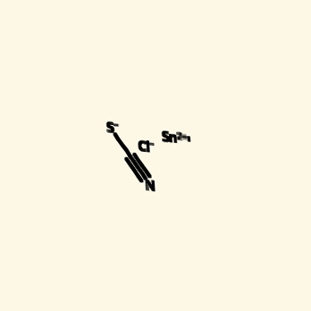 N#C[S-].[Cl-].[Sn+2]